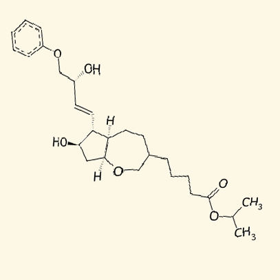 CC(C)OC(=O)CCCCC1CC[C@@H]2[C@@H](C=C[C@@H](O)COc3ccccc3)[C@H](O)C[C@@H]2OC1